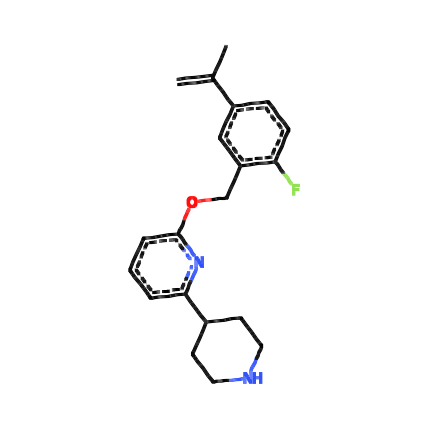 C=C(C)c1ccc(F)c(COc2cccc(C3CCNCC3)n2)c1